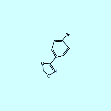 Brc1ccc(C2=NOCO2)cc1